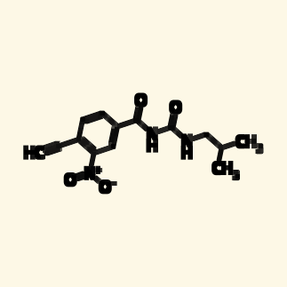 C#Cc1ccc(C(=O)NC(=O)NCC(C)C)cc1[N+](=O)[O-]